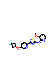 COc1cccnc1Nc1nc(-c2ccc(OC3CC(F)(F)C3)cn2)ns1